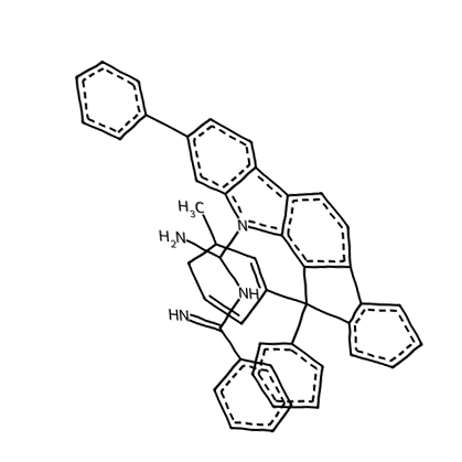 CC1C=C(C2(c3ccccc3)c3ccccc3-c3ccc4c5ccc(-c6ccccc6)cc5n(C(N)NC(=N)c5ccccc5)c4c32)C=CC1